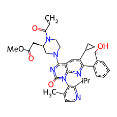 C=CC(=O)N1CCN(c2nc(=O)n(-c3c(C)ccnc3C(C)C)c3nc(-c4ccccc4CO)c(C4CC4)cc23)C[C@H]1CC(=O)OC